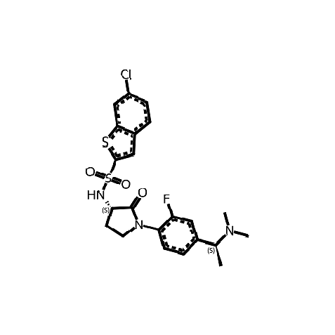 C[C@@H](c1ccc(N2CC[C@H](NS(=O)(=O)c3cc4ccc(Cl)cc4s3)C2=O)c(F)c1)N(C)C